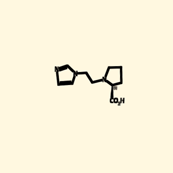 O=C(O)[C@@H]1CCCN1CCn1ccnc1